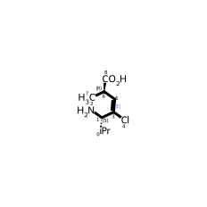 CC(C)[C@H](N)/C(Cl)=C\[C@@H](C)C(=O)O